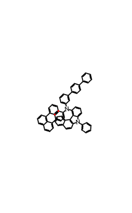 c1ccc(-c2ccc(-c3cccc(N(c4ccc(-c5cccc6cccc(-c7ccccc7)c56)cc4)c4cccc5c4c4c6ccccc6ccc4n5-c4ccccc4)c3)cc2)cc1